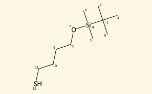 CC(C)(C)[Si](C)(C)OCCCCS